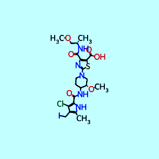 COC[C@H](C)NC(=O)c1nc(N2CCC(NC(=O)c3[nH]c(C)c(CI)c3Cl)[C@@H](OC)C2)sc1C(=O)O